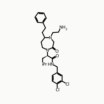 CC(C)C[C@H](C(=O)NCc1ccc(Cl)c(Cl)c1)N1CCC(CCc2ccccc2)N(CCN)CC1=O